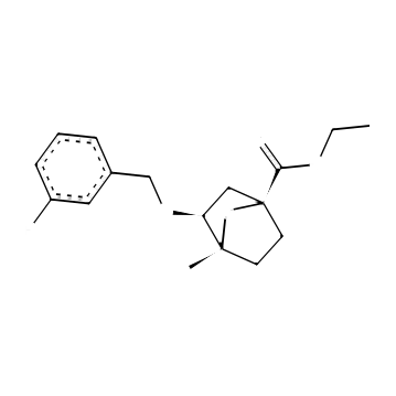 CCOC(=O)[C@@]12CC[C@@](C)(O1)[C@@H](OCc1cccc(F)c1)C2